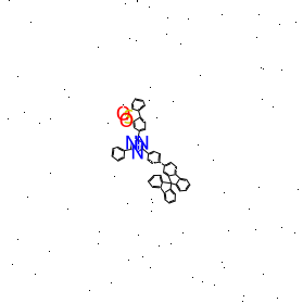 O=S1(=O)c2ccccc2-c2ccc(-c3nc(-c4ccccc4)nc(-c4ccc(-c5ccc6c(c5)C5(c7ccccc7-c7ccccc75)c5ccccc5-6)cc4)n3)cc21